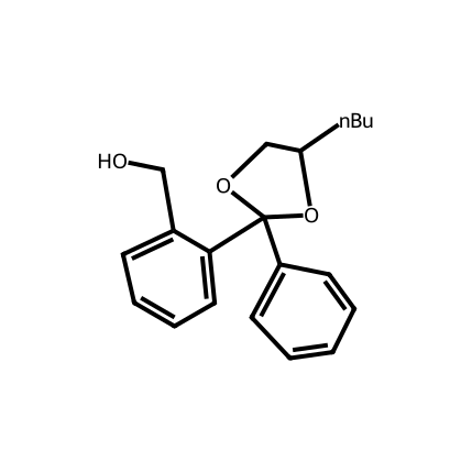 CCCCC1COC(c2ccccc2)(c2ccccc2CO)O1